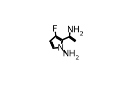 C=C(N)c1c(F)ccn1N